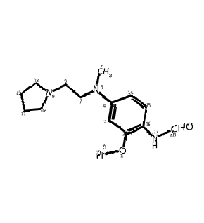 CC(C)Oc1cc(N(C)CCN2CCCC2)ccc1NC=O